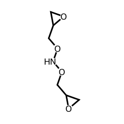 C(ONOCC1CO1)C1CO1